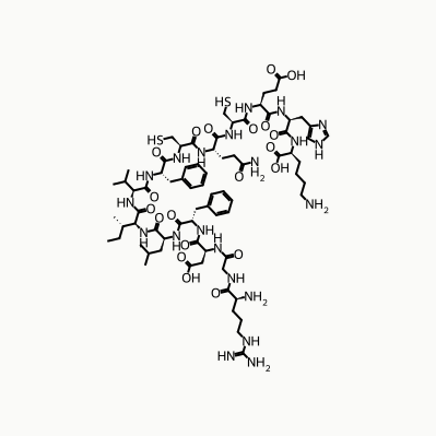 CC[C@H](C)[C@H](NC(=O)[C@H](CC(C)C)NC(=O)[C@H](Cc1ccccc1)NC(=O)[C@H](CC(=O)O)NC(=O)CNC(=O)[C@@H](N)CCCNC(=N)N)C(=O)N[C@H](C(=O)N[C@@H](Cc1ccccc1)C(=O)N[C@@H](CS)C(=O)N[C@@H](CCC(N)=O)C(=O)N[C@@H](CS)C(=O)N[C@@H](CCC(=O)O)C(=O)N[C@@H](Cc1c[nH]cn1)C(=O)N[C@@H](CCCCN)C(=O)O)C(C)C